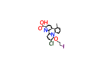 Cc1ccccc1-c1ccc(C(=O)O)nc1-c1ccc(Cl)c(OCCCI)n1